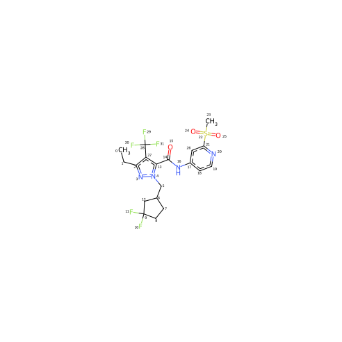 CCc1nn(CC2CCC(F)(F)C2)c(C(=O)Nc2ccnc(S(C)(=O)=O)c2)c1C(F)(F)F